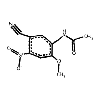 COc1cc([N+](=O)[O-])c(C#N)cc1NC(C)=O